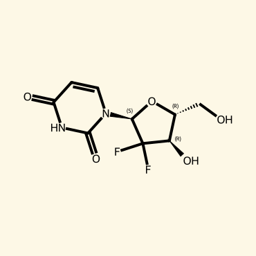 O=c1ccn([C@H]2O[C@H](CO)[C@@H](O)C2(F)F)c(=O)[nH]1